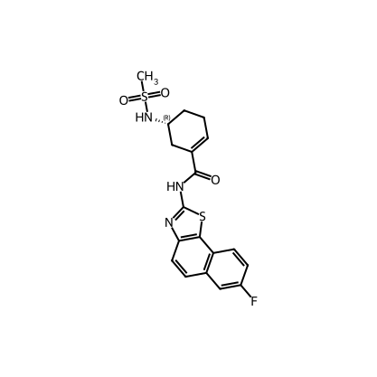 CS(=O)(=O)N[C@@H]1CCC=C(C(=O)Nc2nc3ccc4cc(F)ccc4c3s2)C1